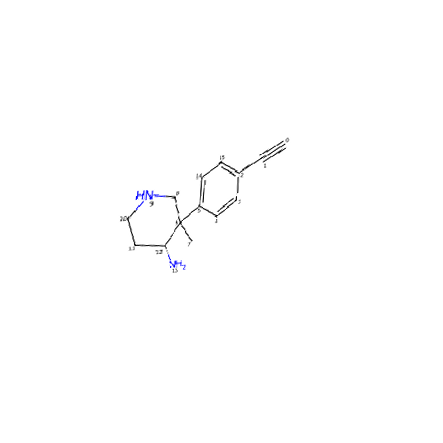 C#Cc1ccc(C2(C)CNCCC2N)cc1